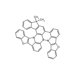 CC1(C)c2ccccc2-c2c1cc1c3c2-n2c4c(cccc4c4oc5ccccc5c42)B3n2c3c-1cccc3c1oc3ccccc3c12